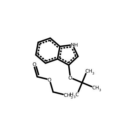 CC(C)(C)Oc1c[nH]c2ccccc12.CCOC=O